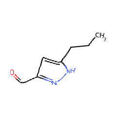 CCCc1cc(C=O)n[nH]1